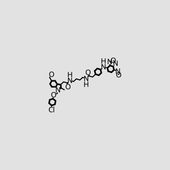 Cc1c(CC(=O)NCCCCNC(=O)Cc2ccc(Nc3ccc(N=O)c4nonc34)cc2)c2cc(C=O)ccc2n1COc1ccc(Cl)cc1